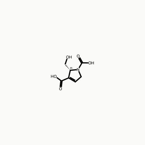 O=C(O)C1=CCN(C(=O)O)[C@H]1CO